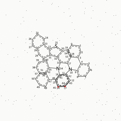 c1ccc(-c2ccccc2N(c2ccccc2)c2ccc3sc4c5ccccc5ccc4c3c2N(c2ccccc2)c2ccccc2-c2ccccc2)cc1